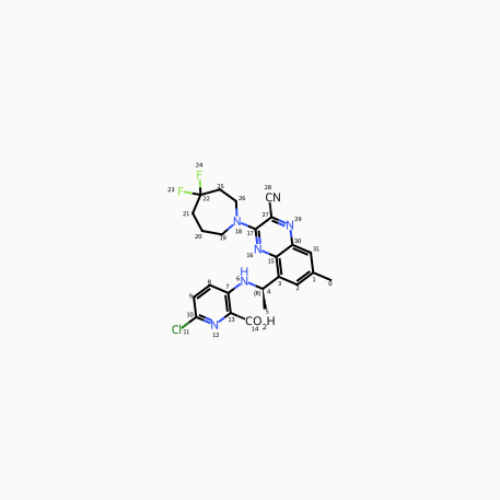 Cc1cc([C@@H](C)Nc2ccc(Cl)nc2C(=O)O)c2nc(N3CCCC(F)(F)CC3)c(C#N)nc2c1